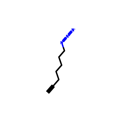 C#CCCCCCN=[N+]=[N-]